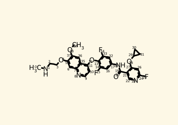 CNCCOc1cc2nccc(Oc3c(F)cc(NC(=O)c4cnc(F)cc4OC4CC4)cc3F)c2cc1OC